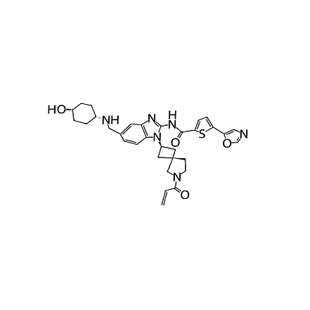 C=CC(=O)N1CC[C@]2(C1)C[C@H](n1c(NC(=O)c3ccc(-c4cnco4)s3)nc3cc(CN[C@H]4CC[C@H](O)CC4)ccc31)C2